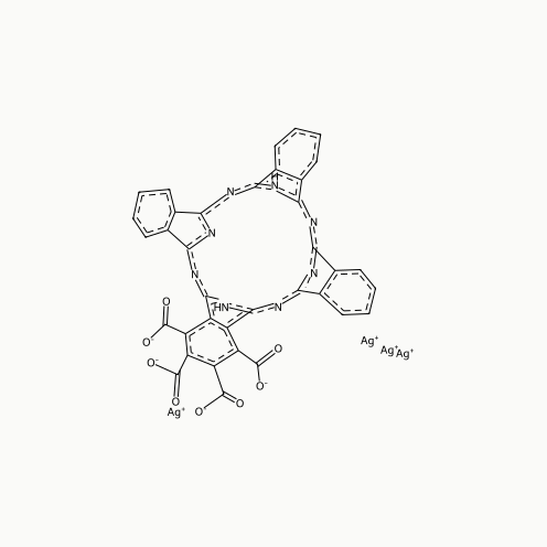 O=C([O-])c1c(C(=O)[O-])c(C(=O)[O-])c2c3nc4nc(nc5[nH]c(nc6nc(nc([nH]3)c2c1C(=O)[O-])-c1ccccc1-6)c1ccccc51)-c1ccccc1-4.[Ag+].[Ag+].[Ag+].[Ag+]